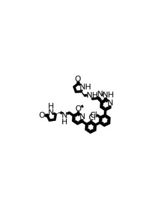 COc1nc(-c2cccc(-c3cccc(-c4cnc5[nH]nc(CNC[C@H]6CCC(=O)N6)c5c4)c3Cl)c2Cl)ccc1CNC[C@@H]1CCC(=O)N1